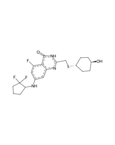 O=c1[nH]c(CS[C@H]2CC[C@H](O)CC2)nc2cc(NC3CCCC3(F)F)cc(F)c12